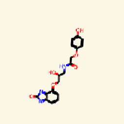 O=C1N=c2cccc(OCC(O)CNC(=O)COc3ccc(O)cc3)c2=N1